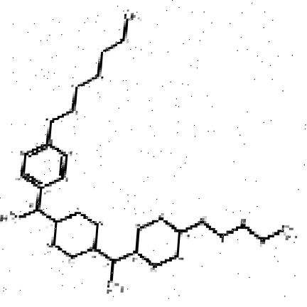 CCCCCCCc1ccc(C(C)C2CCC(C(C)C3CCC(CCCCC)CC3)CC2)cc1